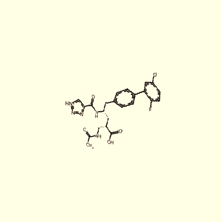 CC(=O)NC[C@H](C[C@@H](Cc1ccc(-c2cc(Cl)ccc2F)cc1)NC(=O)c1c[nH]nn1)C(=O)O